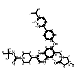 CC(C)c1ccc(-c2ccc(Oc3cc4nc(C5CCN(C(=O)OC(C)(C)C)CC5)cnc4cc3CN3C[C@@H](C)CC3=O)cc2)nn1